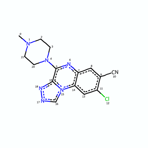 CN1CCN(c2nc3cc(C#N)c(Cl)cc3n3cnnc23)CC1